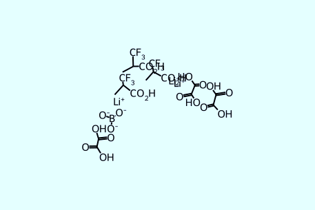 CC(C(=O)O)C(F)(F)F.CC(C(=O)O)C(F)(F)F.CC(C(=O)O)C(F)(F)F.O=C(O)C(=O)O.O=C(O)C(=O)O.O=C(O)C(=O)O.[Li+].[Li+].[Li+].[O-]B([O-])[O-]